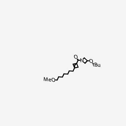 COCCCCCCCC12CC(C(=O)N3CC(OC(C)(C)C)C3)(C1)C2